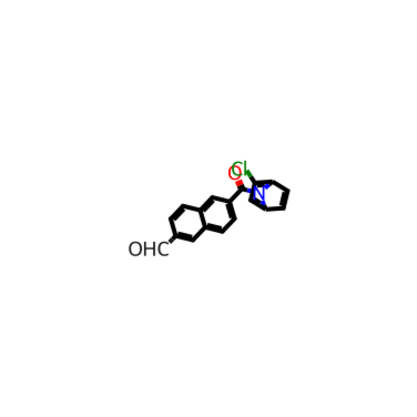 O=Cc1ccc2cc(C(=O)n3c4ccc3c(Cl)c4)ccc2c1